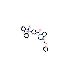 O=C(Nc1ccc(C(=O)N2CCCN(CCOc3ccccc3)c3ccccc32)cc1)c1ccccc1-c1ccccc1